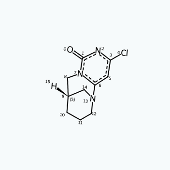 O=c1nc(Cl)cc2n1C[C@H]1CCCN2C1